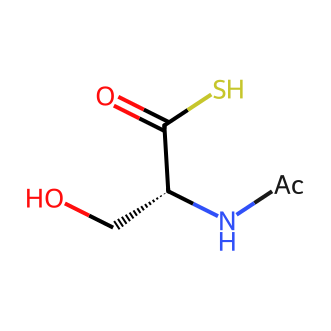 CC(=O)N[C@H](CO)C(=O)S